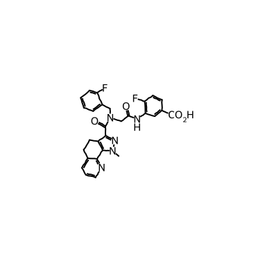 Cn1nc(C(=O)N(CC(=O)Nc2cc(C(=O)O)ccc2F)Cc2ccccc2F)c2c1-c1ncccc1CC2